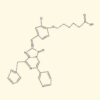 O=C(O)CCCCCOc1ccc(C=C2N=C3C(Cc4ccccc4)=NC(c4ccccc4)=CN3C2=O)cc1Cl